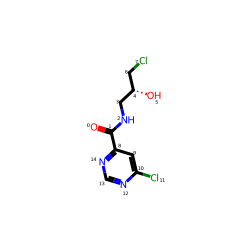 O=C(NC[C@@H](O)CCl)c1cc(Cl)ncn1